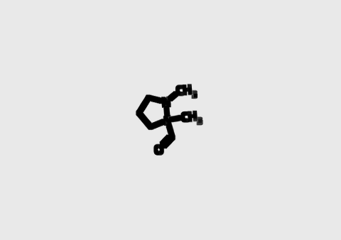 CN1CCCS1(C)C=O